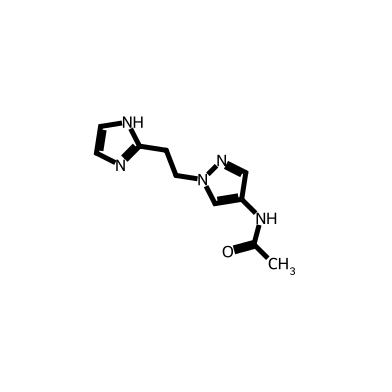 CC(=O)Nc1cnn(CCc2ncc[nH]2)c1